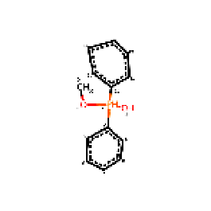 CO[PH](O)(c1ccccc1)c1ccccc1